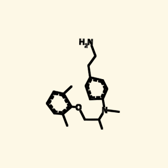 Cc1cccc(C)c1OCC(C)N(C)c1ccc(CCN)cc1